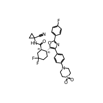 N#CC1(NC(=O)[C@@H]2CC(F)(F)CC[C@H]2c2oc(-c3ccc(F)cc3)nc2-c2ccc(N3CCS(=O)(=O)CC3)cc2)CC1